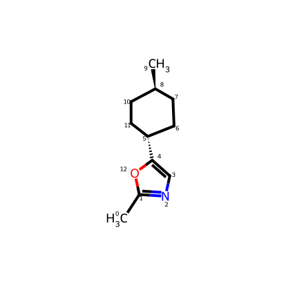 Cc1ncc([C@H]2CC[C@H](C)CC2)o1